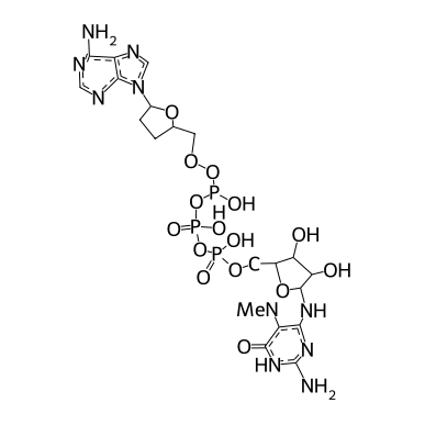 CNc1c(NC2OC(COP(=O)(O)OP(=O)(O)OP(O)OOCC3CCC(n4cnc5c(N)ncnc54)O3)C(O)C2O)nc(N)[nH]c1=O